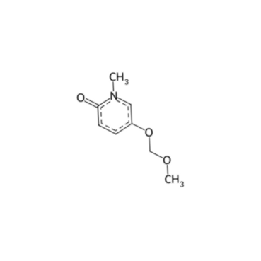 COCOc1ccc(=O)n(C)c1